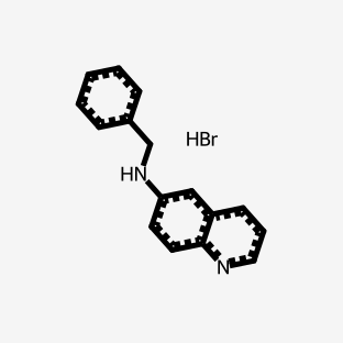 Br.c1ccc(CNc2ccc3ncccc3c2)cc1